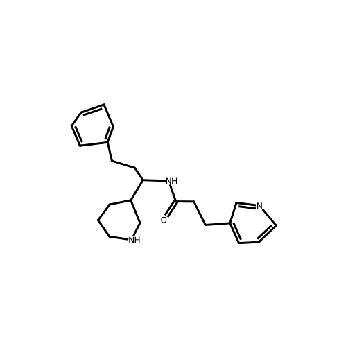 O=C(CCc1cccnc1)NC(CCc1ccccc1)C1CCCNC1